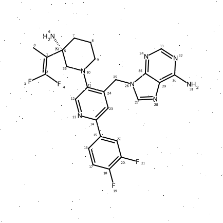 CC(=C(F)F)[C@@]1(N)CCCN(c2cnc(-c3ccc(F)c(F)c3)cc2Cn2cnc3c(N)ncnc32)C1